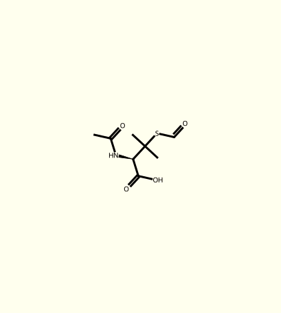 CC(=O)N[C@H](C(=O)O)C(C)(C)SC=O